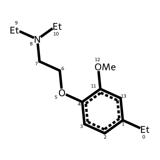 CCc1ccc(OCCN(CC)CC)c(OC)c1